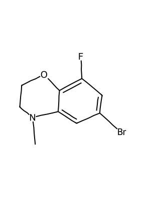 CN1CCOc2c(F)cc(Br)cc21